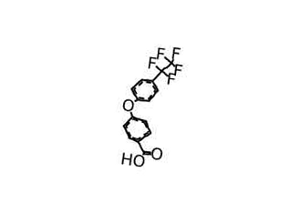 O=C(O)c1ccc(Oc2ccc(C(F)(F)C(F)(F)F)cc2)cc1